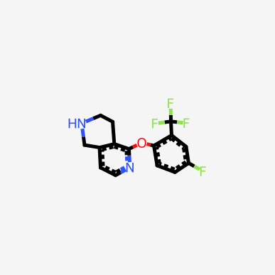 Fc1ccc(Oc2nccc3c2CCNC3)c(C(F)(F)F)c1